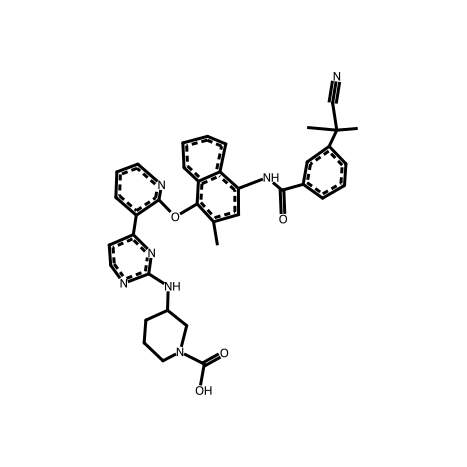 Cc1cc(NC(=O)c2cccc(C(C)(C)C#N)c2)c2ccccc2c1Oc1ncccc1-c1ccnc(NC2CCCN(C(=O)O)C2)n1